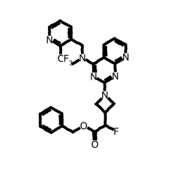 CN(Cc1cccnc1C(F)(F)F)c1nc(N2CC(C(F)C(=O)OCc3ccccc3)C2)nc2ncccc12